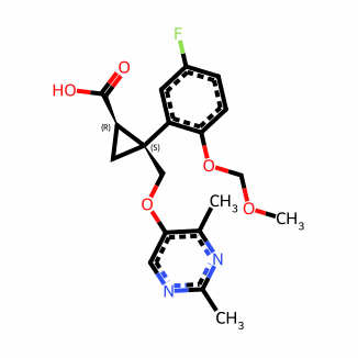 COCOc1ccc(F)cc1[C@]1(COc2cnc(C)nc2C)C[C@H]1C(=O)O